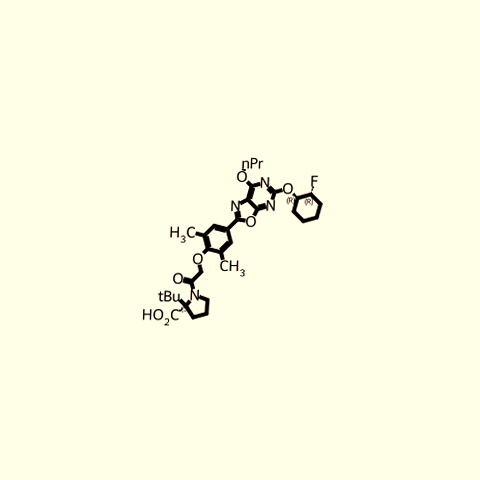 CCCOc1nc(O[C@@H]2CCCC[C@H]2F)nc2oc(-c3cc(C)c(OCC(=O)N4CCC[C@@]4(C(=O)O)C(C)(C)C)c(C)c3)nc12